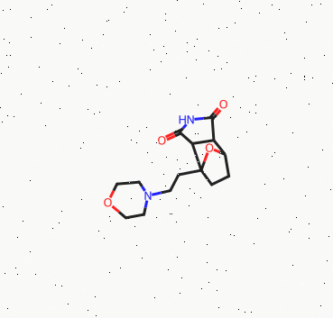 O=C1NC(=O)C2C1C1CCC2(CCN2CCOCC2)O1